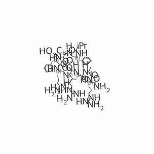 CC(C)C(=O)N[C@@H](Cc1ccccc1)C(=O)N[C@@H](CC(=O)O)C(=O)N[C@@H](Cc1ccccc1)C(=O)N[C@@H](CCCCN)C(=O)N[C@@H](CCCNC(=N)N)C(=O)N[C@@H](CCCCN)C(=O)N[C@@H](C)C(=O)N[C@@H](CCCNC(=N)N)C(N)=O